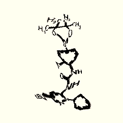 CC(C)(C)c1cc(NC(=O)Nc2ccc(B3OC(C)(C)C(C)(C)O3)cc2F)n(-c2ccccc2)n1